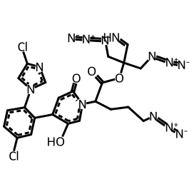 [N-]=[N+]=NCCCC(C(=O)OC(C=N)(CN=[N+]=[N-])CN=[N+]=[N-])n1cc(O)c(-c2cc(Cl)ccc2-n2cnc(Cl)c2)cc1=O